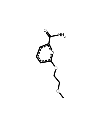 COCCOc1cccc(C(N)=O)n1